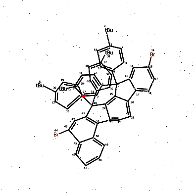 CC(C)(C)c1ccc(C2(c3ccc(C(C)(C)C)cc3)c3cc(Br)ccc3-c3ccc4c(c32)C(c2ccc(C(C)(C)C)cc2)(c2ccc(C(C)(C)C)cc2)c2cc(Br)c3ccccc3c2-4)cc1